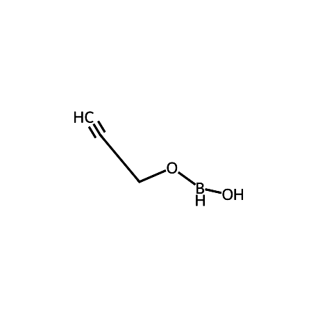 C#CCOBO